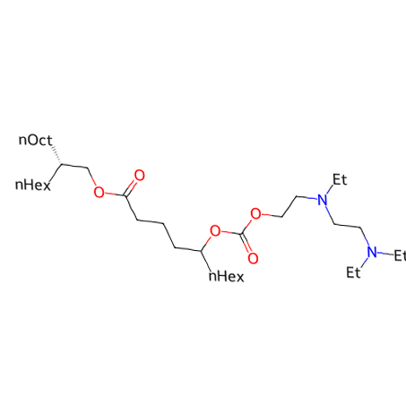 CCCCCCCC[C@@H](CCCCCC)COC(=O)CCCC(CCCCCC)OC(=O)OCCN(CC)CCN(CC)CC